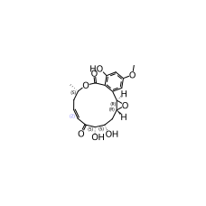 COc1cc(O)c2c(c1)[C@H]1O[C@@H]1C[C@H](O)[C@H](O)C(=O)/C=C\C[C@H](C)OC2=O